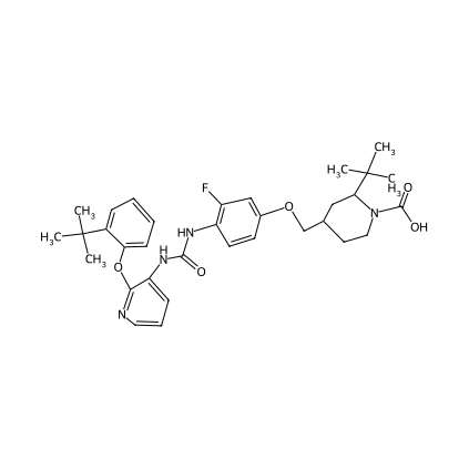 CC(C)(C)c1ccccc1Oc1ncccc1NC(=O)Nc1ccc(OCC2CCN(C(=O)O)C(C(C)(C)C)C2)cc1F